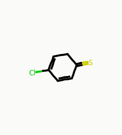 S=C1C=CC(Cl)=CC1